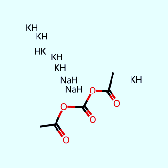 CC(=O)OC(=O)OC(C)=O.[KH].[KH].[KH].[KH].[KH].[KH].[NaH].[NaH]